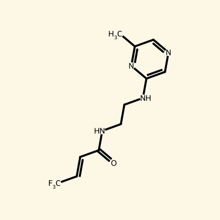 Cc1cncc(NCCNC(=O)C=CC(F)(F)F)n1